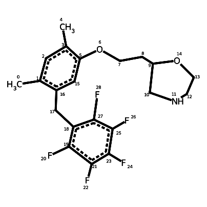 Cc1cc(C)c(OCCC2CNCCO2)cc1Cc1c(F)c(F)c(F)c(F)c1F